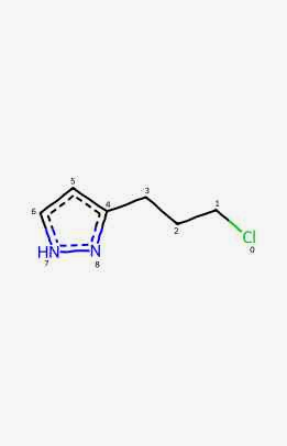 ClCCCc1cc[nH]n1